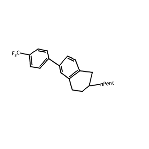 CCCCCC1CCc2cc(-c3ccc(C(F)(F)F)cc3)ccc2C1